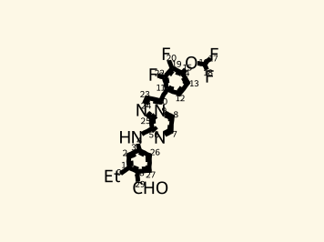 CCc1cc(Nc2nccn3c(-c4ccc(OC(F)F)c(F)c4F)cnc23)ccc1C=O